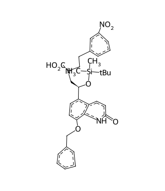 CC(C)(C)[Si](C)(C)O[C@H](CN(CCc1cccc([N+](=O)[O-])c1)C(=O)O)c1ccc(OCc2ccccc2)c2[nH]c(=O)ccc12